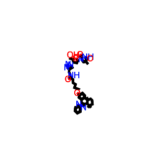 Cc1cn(C2CC(n3cc(CNC(=O)CCCCCOc4ccc5c(c4)-c4nc6ccccc6nc4C4C(C)(C)CCCC54C)nn3)C(CO)O2)c(=O)[nH]c1=O